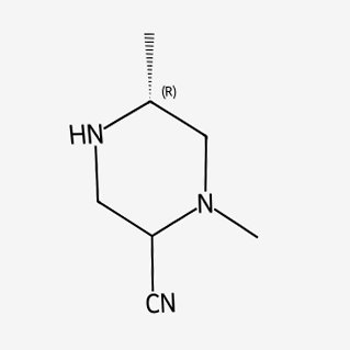 C[C@@H]1CN(C)C(C#N)CN1